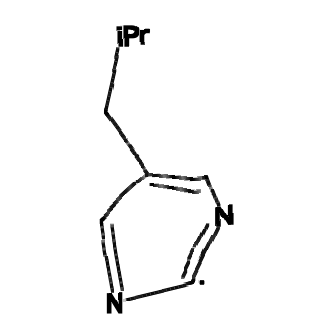 CC(C)Cc1cn[c]nc1